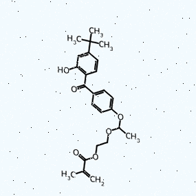 C=C(C)C(=O)OCCOC(C)Oc1ccc(C(=O)c2ccc(C(C)(C)C)cc2O)cc1